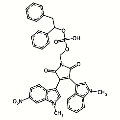 Cn1cc(C2=C(c3cn(C)c4cc([N+](=O)[O-])ccc34)C(=O)N(COP(=O)(O)OC(Cc3ccccc3)c3ccccc3)C2=O)c2ccccc21